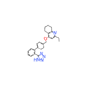 CCc1cc(OCC2=CC=C(c3ccccc3-c3nnn[nH]3)CC2)c2c(n1)CCCC2